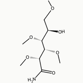 COC[C@@H](O)[C@@H](OC)[C@H](OC)[C@@H](OC)C(N)=O